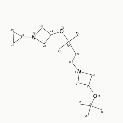 CC(C)(C)OC1CN(CCC(C)(C)OC2CN(C3CC3)C2)C1